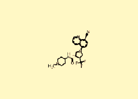 CN1CCC(NC(=O)[C@@H]2CN(c3ccc(C#N)c4ncccc34)CC2C(F)(F)F)CC1